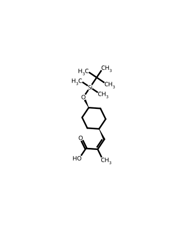 CC(=C[C@H]1CC[C@@H](O[Si](C)(C)C(C)(C)C)CC1)C(=O)O